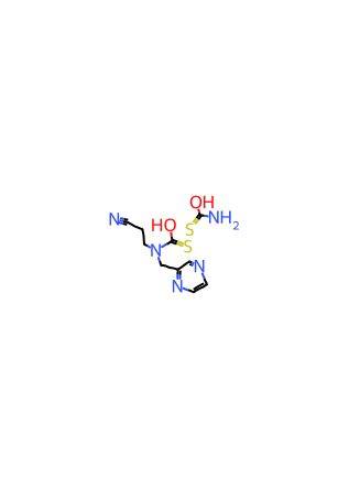 N#CCCN(Cc1cnccn1)C(O)=S.NC(O)=S